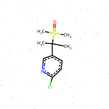 CC(C)(c1ccc(Cl)nc1)[SH](C)(C)=O